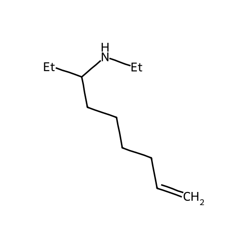 C=CCCCCC(CC)NCC